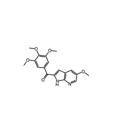 COc1cnc2[nH]c(C(=O)c3cc(OC)c(OC)c(OC)c3)cc2c1